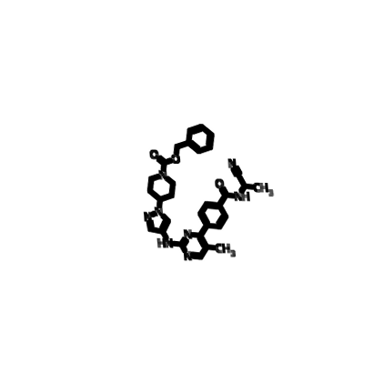 Cc1cnc(Nc2cnn(C3CCN(C(=O)OCc4ccccc4)CC3)c2)nc1-c1ccc(C(=O)NC(C)C#N)cc1